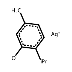 Cc1ccc(C(C)C)c([O-])c1.[Ag+]